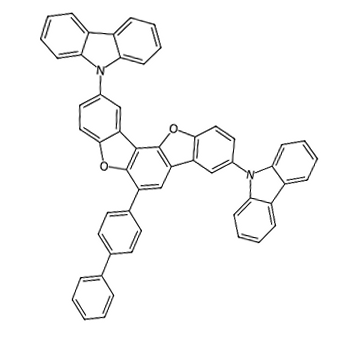 c1ccc(-c2ccc(-c3cc4c5cc(-n6c7ccccc7c7ccccc76)ccc5oc4c4c3oc3ccc(-n5c6ccccc6c6ccccc65)cc34)cc2)cc1